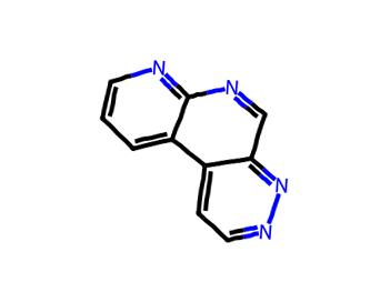 c1cnc2ncc3nnccc3c2c1